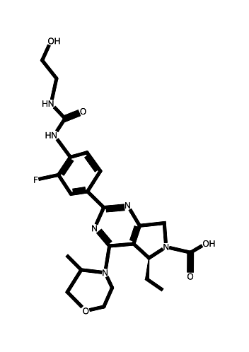 CC[C@H]1c2c(nc(-c3ccc(NC(=O)NCCO)c(F)c3)nc2N2CCOCC2C)CN1C(=O)O